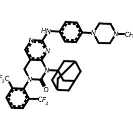 CN1CCN(c2ccc(Nc3ncc4c(n3)N(C35CC6CC(CC(C6)C3)C5)C(=O)N(c3c(C(F)(F)F)cccc3C(F)(F)F)C4)cc2)CC1